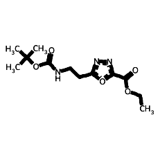 CCOC(=O)c1nnc(CCNC(=O)OC(C)(C)C)o1